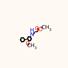 CCOC(=O)CCCNc1ccc(OC)c(-c2ccccc2)c1